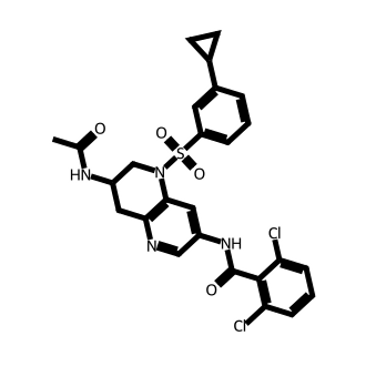 CC(=O)NC1Cc2ncc(NC(=O)c3c(Cl)cccc3Cl)cc2N(S(=O)(=O)c2cccc(C3CC3)c2)C1